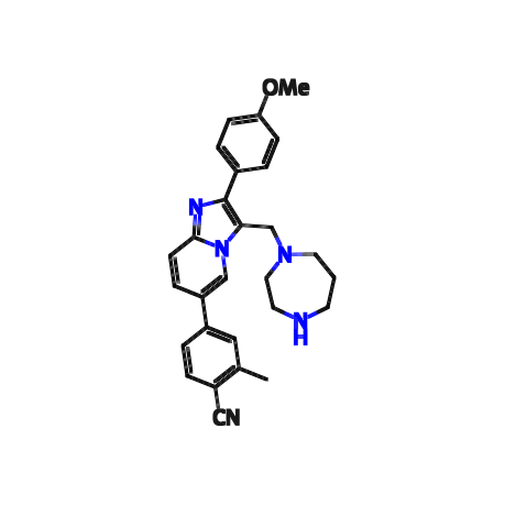 COc1ccc(-c2nc3ccc(-c4ccc(C#N)c(C)c4)cn3c2CN2CCCNCC2)cc1